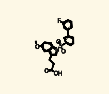 COc1ccc2c(c1)c(CCC(=O)O)cn2S(=O)(=O)c1cccc(-c2cccc(F)c2)c1